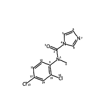 CN(C(=O)n1ccnc1)c1ccc(Cl)cc1Cl